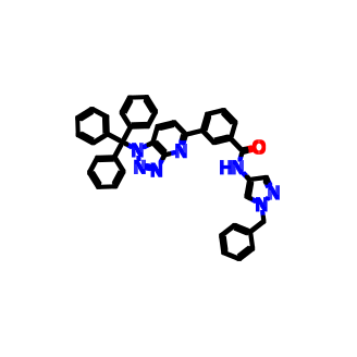 O=C(Nc1cnn(Cc2ccccc2)c1)c1cccc(-c2ccc3c(nnn3C(c3ccccc3)(c3ccccc3)c3ccccc3)n2)c1